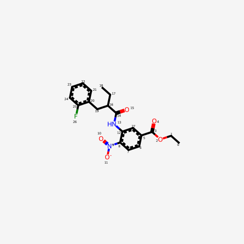 CCOC(=O)c1ccc([N+](=O)[O-])c(NC(=O)C(CC)Cc2ccccc2F)c1